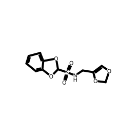 O=S(=O)(NCC1=COCO1)C1Oc2ccccc2O1